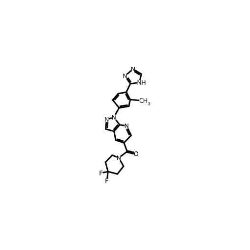 Cc1cc(-n2ncc3cc(C(=O)N4CCC(F)(F)CC4)cnc32)ccc1-c1nnc[nH]1